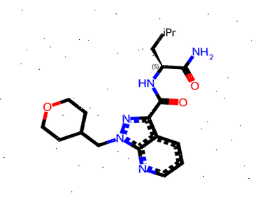 CC(C)C[C@H](NC(=O)c1nn(CC2CCOCC2)c2ncccc12)C(N)=O